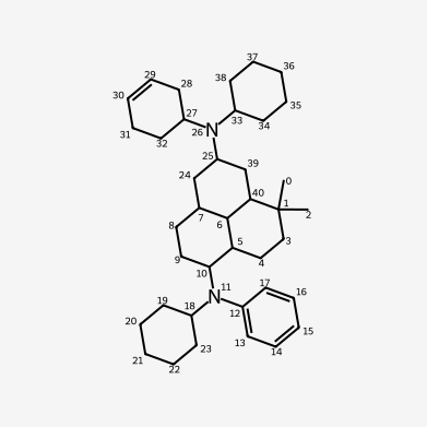 CC1(C)CCC2C3C(CCC2N(c2ccccc2)C2CCCCC2)CC(N(C2CC=CCC2)C2CCCCC2)CC31